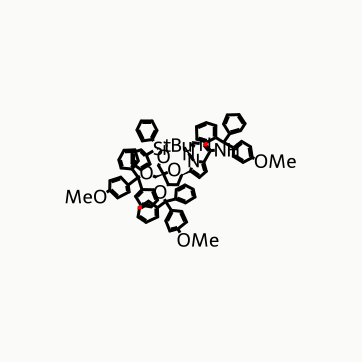 COc1ccc(C(Nc2ncnn3c([C@H]4C[C@H](OC(c5ccccc5)(c5ccccc5)c5ccc(OC)cc5)[C@](COC(c5ccccc5)(c5ccccc5)c5ccc(OC)cc5)(CO[Si](c5ccccc5)(c5ccccc5)C(C)(C)C)O4)ccc23)(c2ccccc2)c2ccccc2)cc1